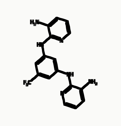 Nc1cccnc1Nc1cc(Nc2ncccc2N)cc(C(F)(F)F)c1